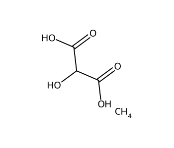 C.O=C(O)C(O)C(=O)O